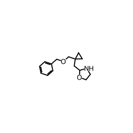 c1ccc(COCC2(CC3NCCO3)CC2)cc1